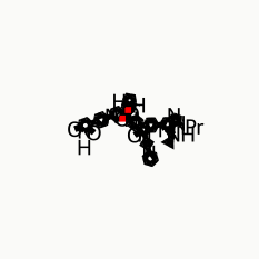 CC(C)n1cnc2cc(-c3ccc4c(c3)N(C3CC(N5CCCCC5)C3)C(=O)C43CCN(C(=O)[C@H]4C[C@H]5CC[C@@H](C4)N5C(=O)C4CCN(c5ccc(C6CCC(=O)NC6=O)cc5)CC4)CC3)nc(NC3CC3)c21